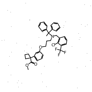 COC(=O)C1(c2cccc(OCCCN(Cc3cccc(C(F)(F)F)c3Cl)C(C)(c3ccccc3)c3ccccc3)c2)CCC1